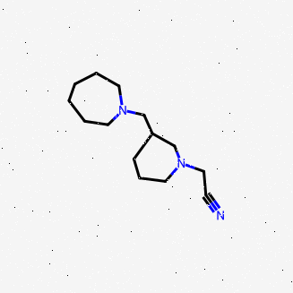 N#CCN1CCCC(CN2CCCCCC2)C1